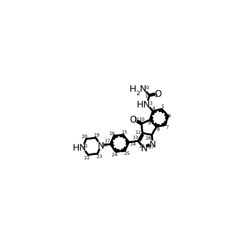 NC(=O)Nc1cccc2c1C(=O)C1=C(c3ccc(N4CCNCC4)cc3)N=NC12